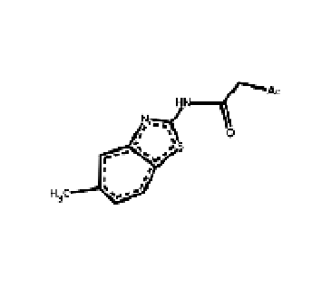 CC(=O)CC(=O)Nc1nc2cc(C)ccc2s1